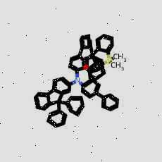 CS1(C)c2ccccc2C2(c3ccccc3-c3ccc(N(c4ccc5c(c4)C(c4ccccc4)(c4ccccc4)c4ccccc4-5)c4ccc(-c5ccccc5)cc4-c4ccccc4)cc32)c2ccccc21